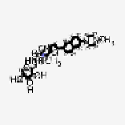 C/C(=C(/C#N)S(=O)(=O)NC[C@H]1OC[C@H](O)[C@@H](O)[C@@H]1O)c1ccc(-c2ccc3cc(N4CCN(C)CC4)ccc3c2)o1